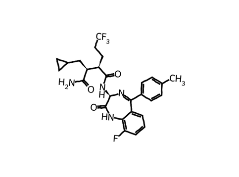 Cc1ccc(C2=N[C@H](NC(=O)[C@H](CCC(F)(F)F)[C@H](CC3CC3)C(N)=O)C(=O)Nc3c(F)cccc32)cc1